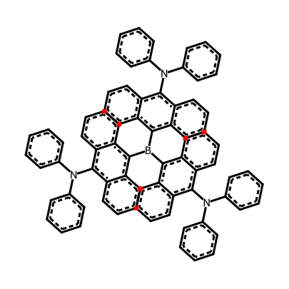 c1ccc(N(c2ccccc2)c2c3ccccc3c(B(c3c4ccccc4c(N(c4ccccc4)c4ccccc4)c4ccccc34)c3c4ccccc4c(N(c4ccccc4)c4ccccc4)c4ccccc34)c3ccccc23)cc1